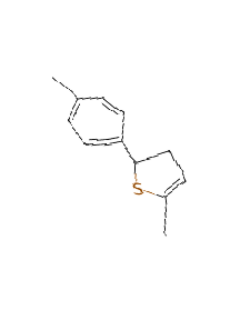 CC1=CCC(c2ccc(C)cc2)S1